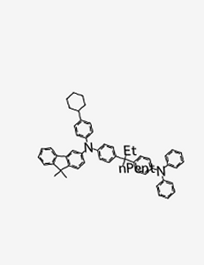 CCCCCC(CC)(c1ccc(N(c2ccccc2)c2ccccc2)cc1)c1ccc(N(c2ccc(C3CCCCC3)cc2)c2ccc3c(c2)-c2ccccc2C3(C)C)cc1